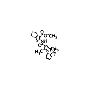 CCOC(=O)c1c(NC(=O)c2cc(C)n(-c3ccccc3C(F)(F)F)c2C)sc2c1CCCC2